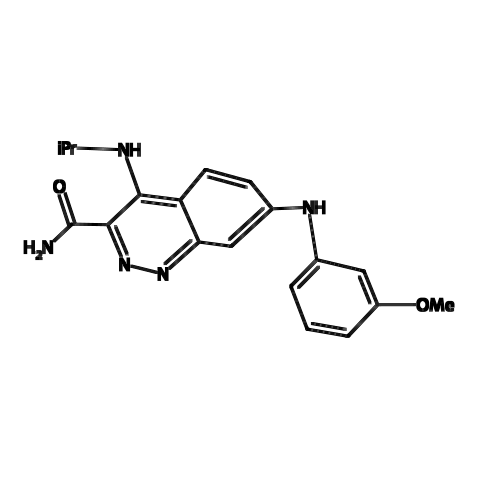 COc1cccc(Nc2ccc3c(NC(C)C)c(C(N)=O)nnc3c2)c1